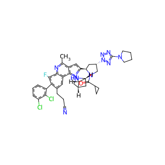 Cc1nc2c(F)c(-c3cccc(Cl)c3Cl)c(CCC#N)cc2c2c1cc([C@H]1C[C@H](n3nnc(N4CCCC4)n3)CN1C(=O)C1CC1)n2[C@H]1[C@H]2CN[C@@H]1C2